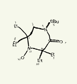 CCC1(CC)CN(C(C)(C)C)C(=O)C(CC)(CC)N1[O]